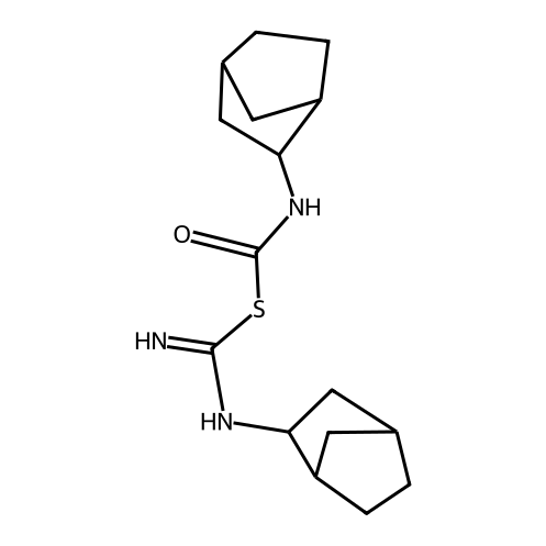 N=C(NC1CC2CCC1C2)SC(=O)NC1CC2CCC1C2